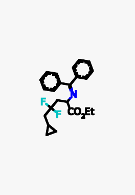 CCOC(=O)C(CC(F)(F)CC1CC1)N=C(c1ccccc1)c1ccccc1